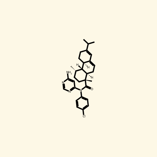 CC(C)C1=CC2=CC[C@@H]3[C@H]([C@@H](C)CC[C@@]3(C)C(=O)N(c3ccc(Cl)cc3)c3cc(N)ncn3)[C@H]2CC1